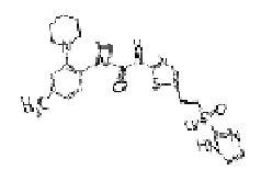 Cc1ccc(NC(=O)Nc2ncc(CCS(=O)(=O)c3ncc[nH]3)s2)c(N2CCCCC2)c1